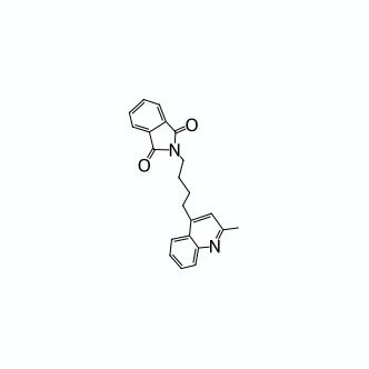 Cc1cc(CCCCN2C(=O)c3ccccc3C2=O)c2ccccc2n1